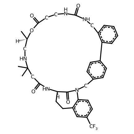 C[C@@H]1CNC(C)(C)CC(=O)N[C@@H]2CCc3cc(C(F)(F)F)ccc3N(Cc3ccc(cc3)-c3ccccc3CNC(=O)NCCC(=O)O1)C2=O